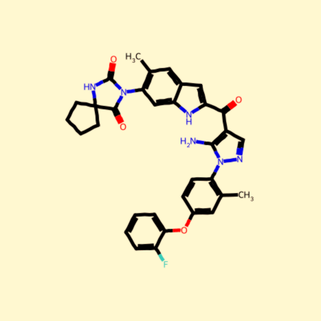 Cc1cc2cc(C(=O)c3cnn(-c4ccc(Oc5ccccc5F)cc4C)c3N)[nH]c2cc1N1C(=O)NC2(CCCC2)C1=O